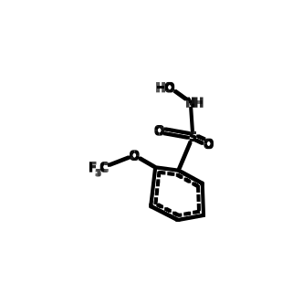 O=S(=O)(NO)c1ccccc1OC(F)(F)F